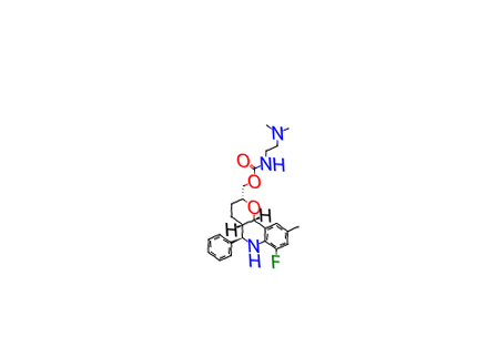 Cc1cc(F)c2c(c1)[C@H]1O[C@@H](COC(=O)NCCN(C)C)CC[C@H]1[C@H](c1ccccc1)N2